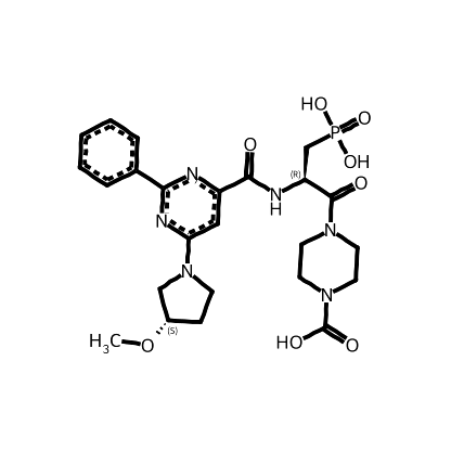 CO[C@H]1CCN(c2cc(C(=O)N[C@@H](CP(=O)(O)O)C(=O)N3CCN(C(=O)O)CC3)nc(-c3ccccc3)n2)C1